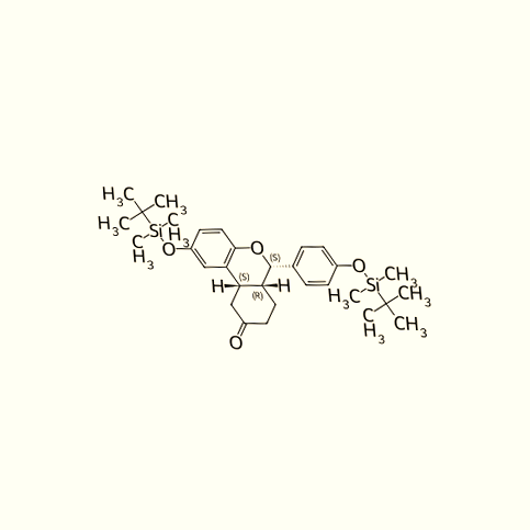 CC(C)(C)[Si](C)(C)Oc1ccc([C@H]2Oc3ccc(O[Si](C)(C)C(C)(C)C)cc3[C@H]3CC(=O)CC[C@H]32)cc1